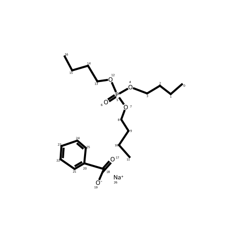 CCCCOP(=O)(OCCCC)OCCCC.O=C([O-])c1ccccc1.[Na+]